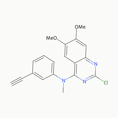 C#Cc1cccc(N(C)c2nc(Cl)nc3cc(OC)c(OC)cc23)c1